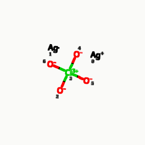 [Ag+].[Ag].[O-][Cl+3]([O-])([O-])[O-]